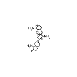 Nc1nc(N2CCC3(CC[C@@H](I)[C@H]3N)CC2)cnc1Sc1ccnc(N)c1Cl